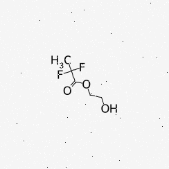 CC(F)(F)C(=O)OCCO